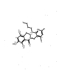 CCCCOc1nc(C)cc(C)c1CN1CCc2c(Cl)cc(O)c(Cl)c2C1=O